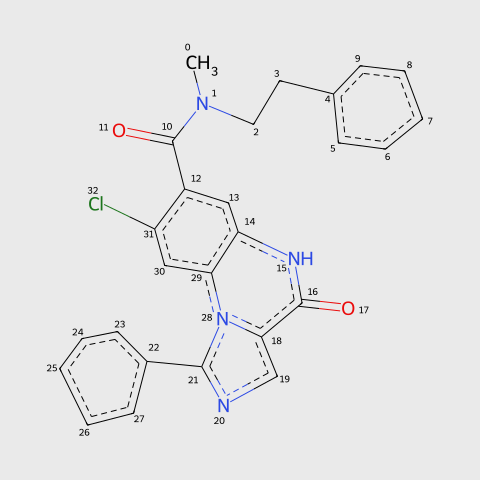 CN(CCc1ccccc1)C(=O)c1cc2[nH]c(=O)c3cnc(-c4ccccc4)n3c2cc1Cl